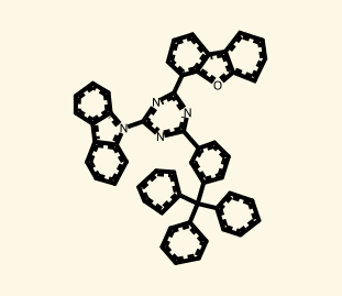 c1ccc(C(c2ccccc2)(c2ccccc2)c2cccc(-c3nc(-c4cccc5c4oc4ccccc45)nc(-n4c5ccccc5c5ccccc54)n3)c2)cc1